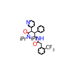 CC(C)N(C(=O)C(c1cccnc1)C(CNC(=O)Cc1ccccc1C(F)(F)F)c1ccccc1)C(C)C